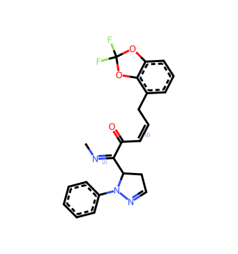 C/N=C(\C(=O)/C=C\Cc1cccc2c1OC(F)(F)O2)C1CC=NN1c1ccccc1